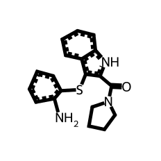 Nc1ccccc1Sc1c(C(=O)N2CCCC2)[nH]c2ccccc12